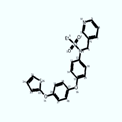 CCS(=O)(=O)N(Cc1cccnc1)c1ccc(Oc2ccc(Oc3cccs3)cc2)cc1